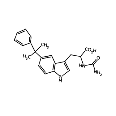 CC(C)(c1ccccc1)c1ccc2[nH]cc(CC(NC(N)=O)C(=O)O)c2c1